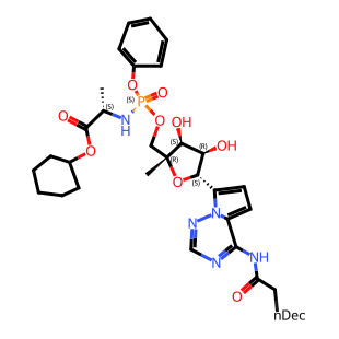 CCCCCCCCCCCC(=O)Nc1ncnn2c([C@@H]3O[C@](C)(CO[P@@](=O)(N[C@@H](C)C(=O)OC4CCCCC4)Oc4ccccc4)[C@@H](O)[C@H]3O)ccc12